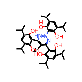 CC(C)c1cc(C(C)C)c(O)c(C2=NN(c3c(O)c(C(C)C)cc(C(C)C)c3O)NC(c3c(O)c(C(C)C)cc(C(C)C)c3O)=[C]2[Zr])c1O